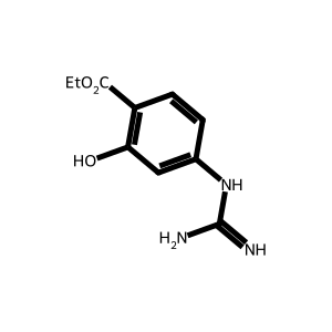 CCOC(=O)c1ccc(NC(=N)N)cc1O